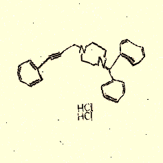 C(#Cc1ccccc1)CN1CCN(C(c2ccccc2)c2ccccc2)CC1.Cl.Cl